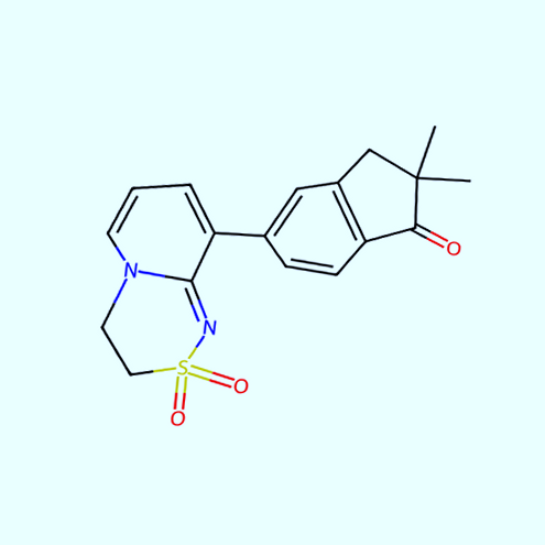 CC1(C)Cc2cc(C3=CC=CN4CCS(=O)(=O)N=C34)ccc2C1=O